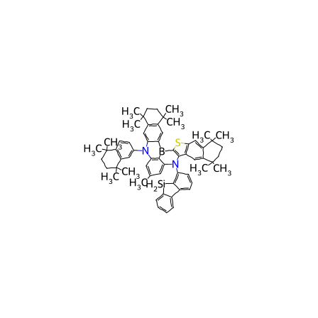 Cc1cc2c3c(c1)N(c1cccc4c1[SiH2]c1ccccc1-4)c1c(sc4cc5c(cc14)C(C)(C)CCC5(C)C)B3c1cc3c(cc1N2c1ccc2c(c1)C(C)(C)CCC2(C)C)C(C)(C)CCC3(C)C